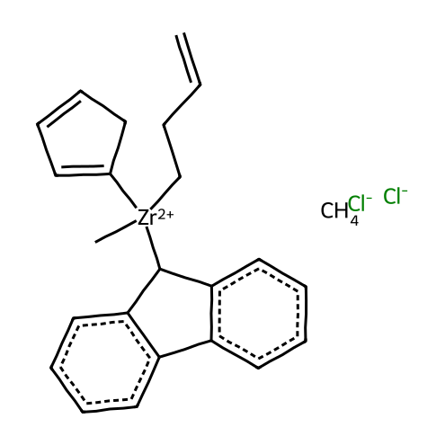 C.C=CC[CH2][Zr+2]([CH3])([C]1=CC=CC1)[CH]1c2ccccc2-c2ccccc21.[Cl-].[Cl-]